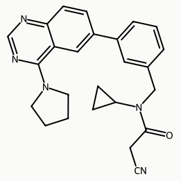 N#CCC(=O)N(Cc1cccc(-c2ccc3ncnc(N4CCCC4)c3c2)c1)C1CC1